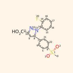 CS(=O)(=O)c1ccc(-c2cc(C(=O)O)nn2-c2ccccc2F)cc1